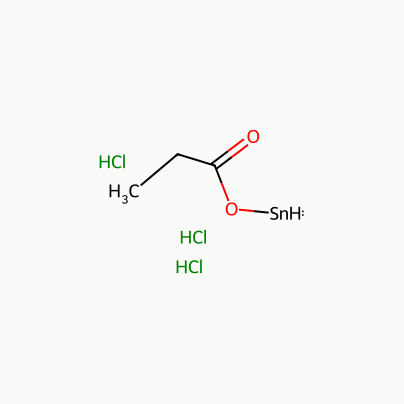 CCC(=O)[O][SnH].Cl.Cl.Cl